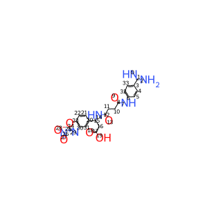 N=C(N)c1ccc(NC(=O)CCC(=O)NC(CC(=O)O)c2ccc3oc([N+](=O)[O-])nc3c2)cc1